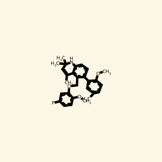 COc1ccc(F)cc1OCc1c(-c2cc(C)ccc2OC)ccc2c1C(C)=CC(C)(C)N2